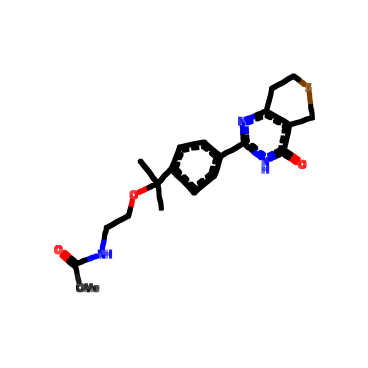 COC(=O)NCCOC(C)(C)c1ccc(-c2nc3c(c(=O)[nH]2)CSCC3)cc1